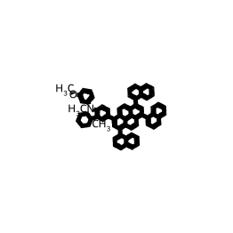 COc1cccc(N2c3ccc(-c4cc(-c5cccc6ccccc56)c5ccc6c(-c7cccc8ccccc78)cc(-c7cccc8ccccc78)c7ccc4c5c76)cc3C3(C)CCCCC23C)c1